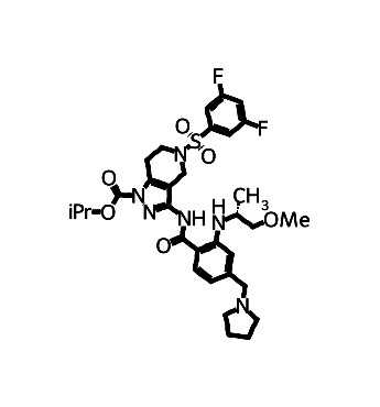 COC[C@@H](C)Nc1cc(CN2CCCC2)ccc1C(=O)Nc1nn(C(=O)OC(C)C)c2c1CN(S(=O)(=O)c1cc(F)cc(F)c1)CC2